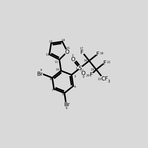 O=S(=O)(c1cc(Br)[c]c(Br)c1-c1ccco1)C(F)(F)C(F)(F)C(F)(F)F